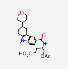 CC(=O)OCC(CCC(=O)O)N(C)C(=O)c1ccc2c(c1)c1c(n2C)CCC(C2CCOCC2)C1